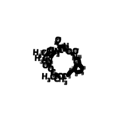 CC1(C)CC/C=C/c2cccc3c2CN(C3)C(=O)O[C@@H]2C[C@@H](C=O)N(C2)C(=O)[C@H](C(C)(C)C)NC(=O)OC1